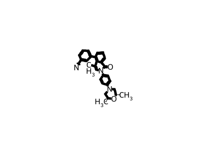 Cc1cn(-c2ccc(N3C[C@@H](C)O[C@@H](C)C3)cc2)c(=O)c2cccc(-c3cccc(C#N)c3)c12